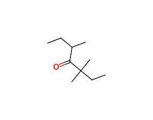 CCC(C)C(=O)C(C)(C)CC